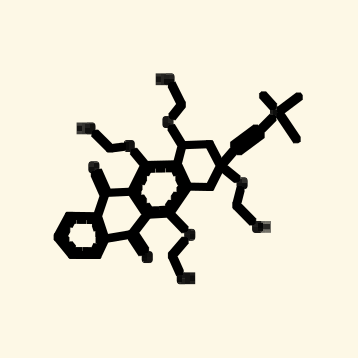 C[Si](C)(C)C#CC1(OCO)Cc2c(OCO)c3c(c(OCO)c2C(OCO)C1)C(=O)c1ccccc1C3=O